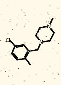 Cc1ccc(Cl)cc1CN1CCN(C)CC1